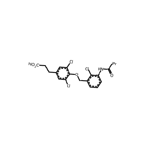 CC(C)C(=O)Nc1cccc(COc2c(Cl)cc(CCC(=O)O)cc2Cl)c1Cl